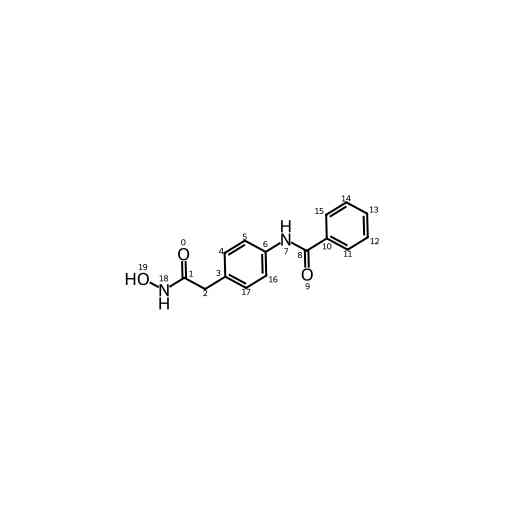 O=C(Cc1ccc(NC(=O)c2ccccc2)cc1)NO